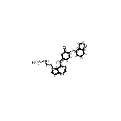 O=C(O)NCCn1ccc2ncnc(Nc3ccc(Oc4cccc5oncc45)c(Cl)c3)c21